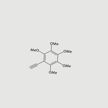 [C]#Cc1c(OC)c(OC)c(OC)c(OC)c1OC